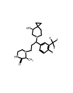 C[C@H]1C(=O)NCCN1CCC(c1ccc(F)c(C(F)(F)F)c1)N1CCC2(CC2)[C@H](O)C1